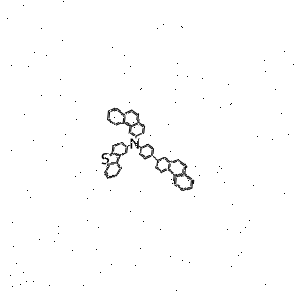 c1ccc2c(c1)ccc1cc(-c3ccc(N(c4ccc5ccc6ccccc6c5c4)c4ccc5sc6ccccc6c5c4)cc3)ccc12